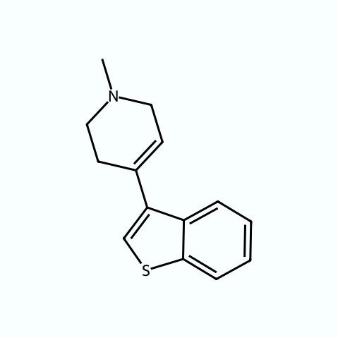 CN1CC=C(c2csc3ccccc23)CC1